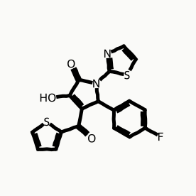 O=C(C1=C(O)C(=O)N(c2nccs2)C1c1ccc(F)cc1)c1cccs1